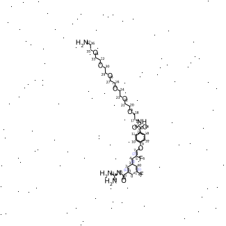 C\C(=C/C(=C/C(F)=C/Oc1ccc(S(=O)(=O)NCCOCCOCCOCCOCCOCCOCCN)cc1)/C=C/F)C(=O)N=C(N)N